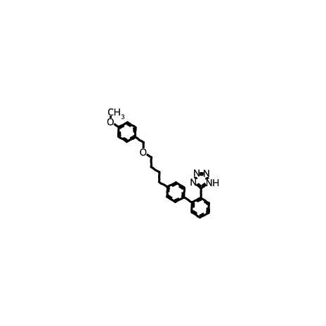 COc1ccc(COCCCCc2ccc(-c3ccccc3-c3nnn[nH]3)cc2)cc1